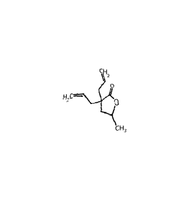 C=CCC1(CC=C)CC(C)OC1=O